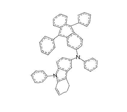 C1=Cc2c(c3cc(N(c4ccccc4)c4ccc5c(-c6ccccc6)c6ccccc6c(-c6ccccc6)c5c4)ccc3n2-c2ccccc2)CC1